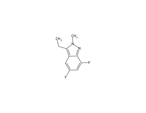 CCc1c2cc(F)cc(F)c2nn1C